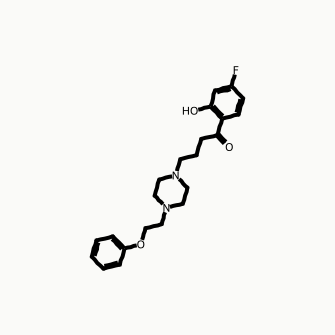 O=C(CCCN1CCN(CCOc2ccccc2)CC1)c1ccc(F)cc1O